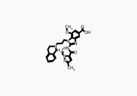 CCn1nc(C)cc1C(=O)Nc1nc2cc(C(=O)O)cc(OC)c2n1CCCN1CCc2ccccc2C1